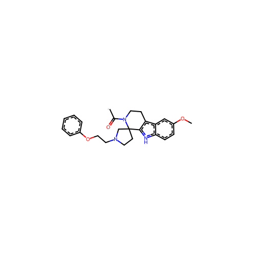 [CH2]C(=O)N1CCc2c([nH]c3ccc(OC)cc23)C12CCN(CCOc1ccccc1)C2